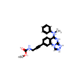 CCCCOC(=O)NCC#Cc1ccc2c(N(C)c3ccccc3)nc3nncn3c2c1